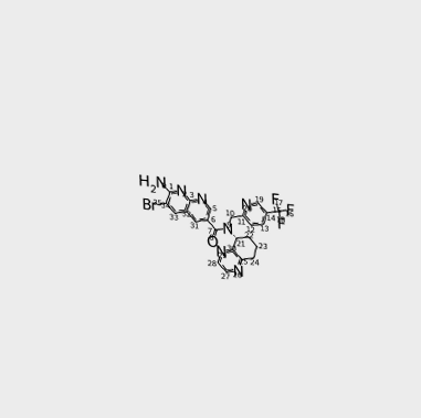 Nc1nc2ncc(C(=O)N(Cc3ccc(C(F)(F)F)cn3)[C@@H]3CCCc4nccnc43)cc2cc1Br